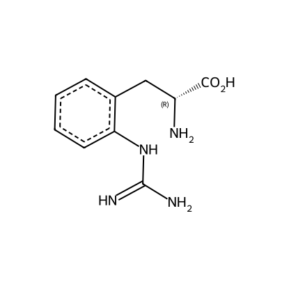 N=C(N)Nc1ccccc1C[C@@H](N)C(=O)O